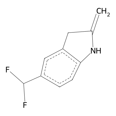 C=C1Cc2cc(C(F)F)ccc2N1